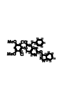 COc1cc(OC)c(Cl)c(N2Cc3cnc(OC4N=Nc5ccccc54)nc3N(Cc3ccccc3)C2=O)c1Cl